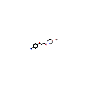 N=C(N)c1ccc(C(=O)CCC(=O)N2CCC(OCC(=O)O)CC2)cc1